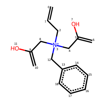 C=CC[N+](CC(=C)O)(CC(=C)O)Cc1ccccc1